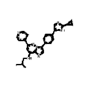 CC(C)CNc1cc(-c2ccncc2)nn2c(-c3ccc(-c4cnc(C5CC5)[nH]4)cc3)cnc12